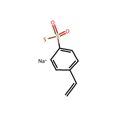 C=Cc1ccc(S(=O)(=O)[S-])cc1.[Na+]